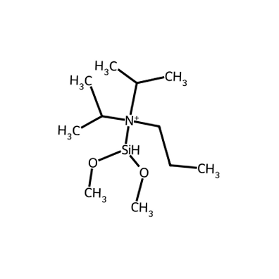 CCC[N+](C(C)C)(C(C)C)[SiH](OC)OC